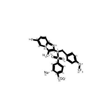 Cc1c(N(Cc2ccc(OC(F)(F)F)cc2)S(=O)(=O)c2ccc(C(=O)[O-])cc2)nc2ccc(F)cn12.[Na+]